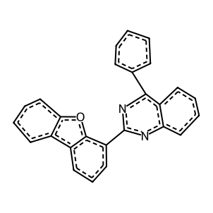 c1ccc(-c2nc(-c3cccc4c3oc3ccccc34)nc3ccccc23)cc1